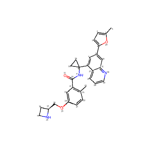 Cc1ccc(-c2cc(C3(NC(=O)c4cc(OC[C@@H]5CCN5)ccc4C)CC3)c3cccnc3c2)o1